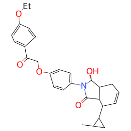 CCOc1ccc(C(=O)COc2ccc(N3C(=O)C4C(C5CC5C)C=CCC4[C@@H]3O)cc2)cc1